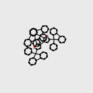 c1ccc(C2(c3cc(-c4cc(C5(c6ccccc6)c6ccccc6-c6ccccc65)sc4C4(c5ccccc5)c5ccccc5-c5ccccc54)c(C4(c5ccccc5)c5ccccc5-c5ccccc54)s3)c3ccccc3-c3ccccc32)cc1